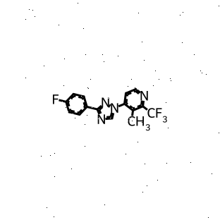 Cc1c(-n2cnc(-c3ccc(F)cc3)n2)ccnc1C(F)(F)F